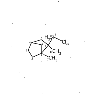 CC12CCC(C1)CC2(C)[SiH2]Cl